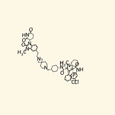 CN1[C@@H](C(=O)N[C@H]2CC[C@H](CN3CCC4(CC3)CN(CCc3ccc5c(c3)n(C)c(=O)n5C3CCC(=O)NC3=O)C4)CC2)[C@H](c2cccc(Cl)c2F)[C@]2(C(=O)Nc3cc(Cl)ccc32)C12CCCCC2